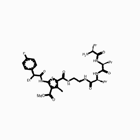 CCC(C(=O)Nc1sc(C(=O)NCCNC(=O)[C@@H](NC(=O)[C@@H](NC(=O)[C@@H](N)C(C)C)C(C)C)C(C)C)c(C)c1C(=O)OC)c1ccc(F)cc1